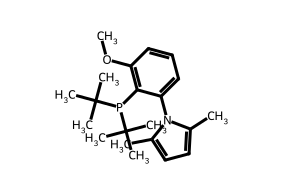 COc1cccc(-n2c(C)ccc2C)c1P(C(C)(C)C)C(C)(C)C